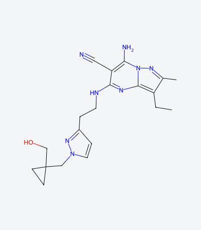 CCc1c(C)nn2c(N)c(C#N)c(NCCc3ccn(CC4(CO)CC4)n3)nc12